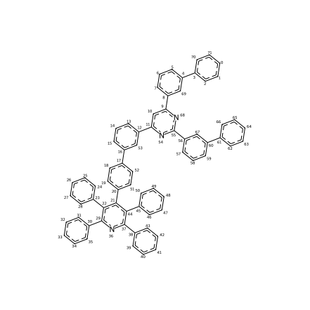 c1ccc(-c2cccc(-c3cc(-c4cccc(-c5ccc(-c6c(-c7ccccc7)c(-c7ccccc7)nc(-c7ccccc7)c6-c6ccccc6)cc5)c4)nc(-c4cccc(-c5ccccc5)c4)n3)c2)cc1